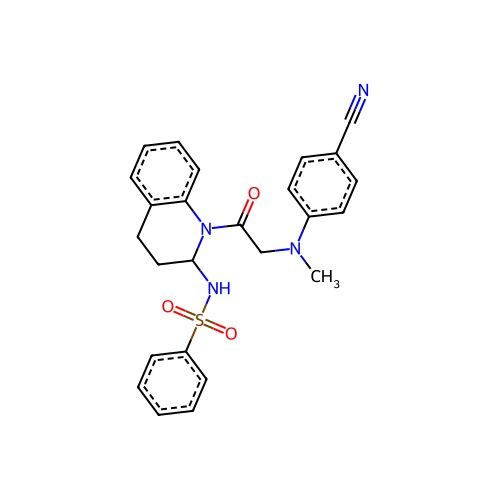 CN(CC(=O)N1c2ccccc2CCC1NS(=O)(=O)c1ccccc1)c1ccc(C#N)cc1